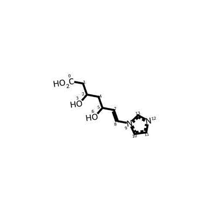 O=C(O)CC(O)CC(O)C=Cn1ccnc1